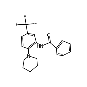 O=C(Nc1cc(C(F)(F)F)ccc1N1CCCCC1)c1ccccc1